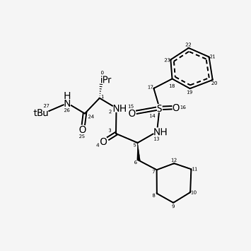 CC(C)[C@H](NC(=O)[C@H](CC1CCCCC1)NS(=O)(=O)Cc1ccccc1)C(=O)NC(C)(C)C